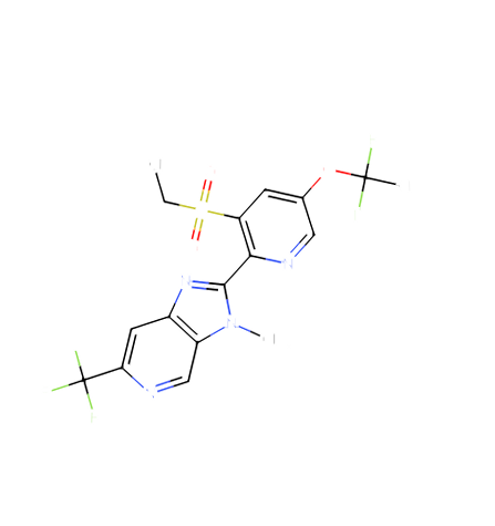 CCS(=O)(=O)c1cc(OC(C)(F)F)cnc1-c1nc2cc(C(F)(F)F)ncc2n1C